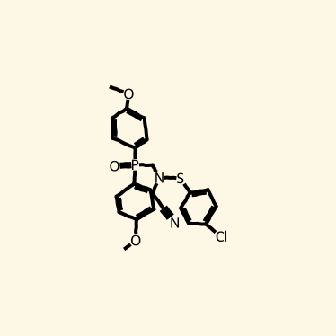 COc1ccc(P(=O)(CN(CC#N)Sc2ccc(Cl)cc2)c2ccc(OC)cc2)cc1